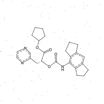 O=C(Nc1c2c(cc3c1CCC3)CCC2)O[C@H](Cc1cnccn1)C(=O)OC1CCCC1